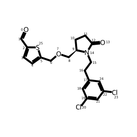 O=Cc1ccc(COC[C@H]2CCC(=O)N2CCc2cc(Cl)cc(Cl)c2)s1